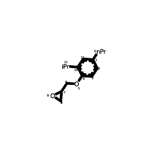 CCCc1ccc(OCC2CO2)c(C(C)C)c1